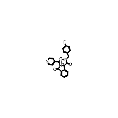 CC(c1ccncc1)N1C(=O)c2ccccc2C1C(=O)NCc1ccc(F)cc1